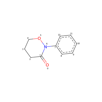 O=C1CCCON1c1ccccc1